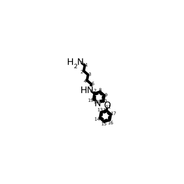 NCCCCCNc1ccc(Oc2ccccc2)nc1